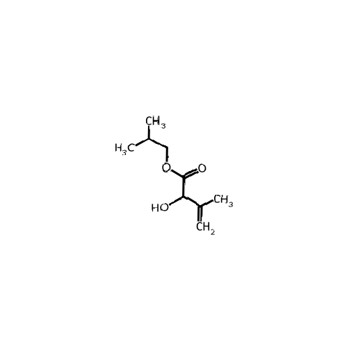 C=C(C)C(O)C(=O)OCC(C)C